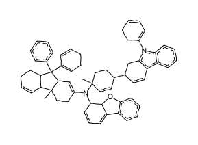 CC12CCC(N(C3C=CC=C4c5ccccc5OC43)C3(C)C=CC(C4C=Cc5c(n(C6=CC=CCC6)c6ccccc56)C4)CC3)=CC1C(C1=CCCC=C1)(c1ccccc1)C1CCC=CC12